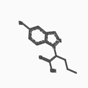 CCCC(C(=O)O)n1ncc2cc(Br)ccc21